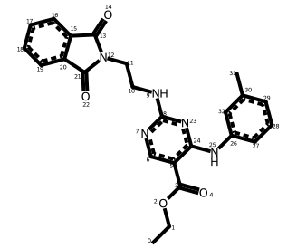 CCOC(=O)c1cnc(NCCN2C(=O)c3ccccc3C2=O)nc1Nc1cccc(C)c1